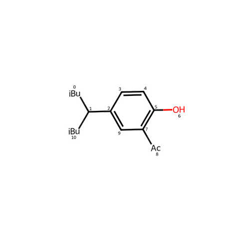 CCC(C)C(c1ccc(O)c(C(C)=O)c1)C(C)CC